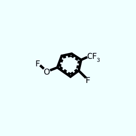 FOc1ccc(C(F)(F)F)c(F)c1